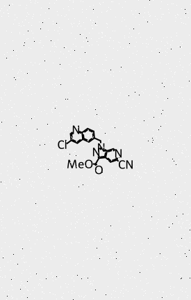 COC(=O)c1nn(Cc2ccc3ncc(Cl)cc3c2)c2cnc(C#N)cc12